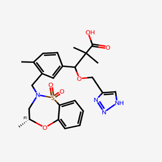 Cc1ccc(C(OCc2c[nH]nn2)C(C)(C)C(=O)O)cc1CN1C[C@@H](C)Oc2ccccc2S1(=O)=O